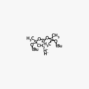 CC(C)(C)O[Si](C)(C)[O][Zr][O][Si](C)(C)OC(C)(C)C.[H-].[H-]